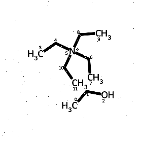 CCO.CC[N+](CC)(CC)CC